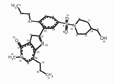 CCCOc1ccc(S(=O)(=O)N2CCC(CO)CC2)cc1C1=Nc2c(CCC)cn(C)c(=O)c2C1